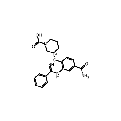 N=C(Nc1cc(C(N)=O)ccc1O[C@H]1CCCN(C(=O)O)C1)c1ccccc1